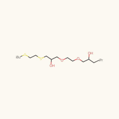 CCC(C)SCCSCC(O)COCCOCC(O)CC(C)C